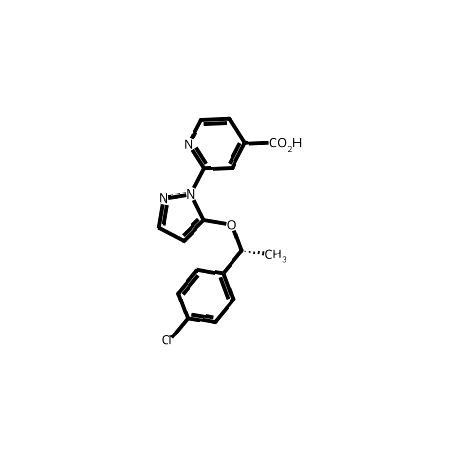 C[C@@H](Oc1ccnn1-c1cc(C(=O)O)ccn1)c1ccc(Cl)cc1